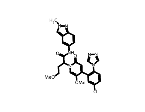 COCCC(C(=O)Nc1ccc2nn(C)cc2c1)n1cc(OC)c(-c2cc(Cl)ccc2-n2cnnc2)cc1=O